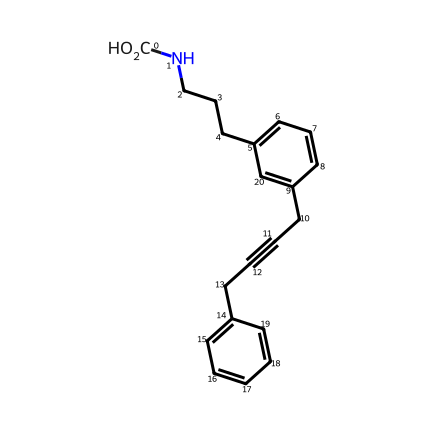 O=C(O)NCCCc1cccc(CC#CCc2ccccc2)c1